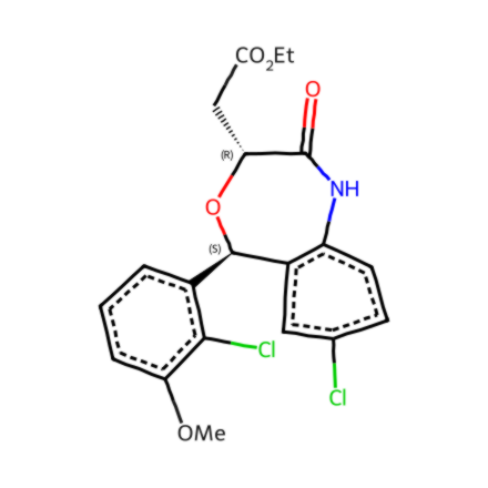 CCOC(=O)C[C@H]1O[C@H](c2cccc(OC)c2Cl)c2cc(Cl)ccc2NC1=O